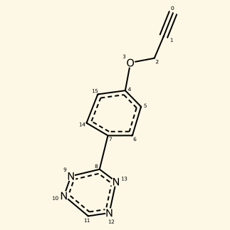 C#CCOc1ccc(-c2nncnn2)cc1